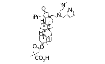 CC(C)C1=C2[C@H]3CC[C@@H]4[C@@]5(C)CC[C@H](OC(=O)CC(C)(C)C(=O)O)C(C)(C)[C@@H]5CC[C@@]4(C)[C@]3(C)CC[C@@]2(CCN(CCN(C)C)Cc2cccnc2)CC1=O